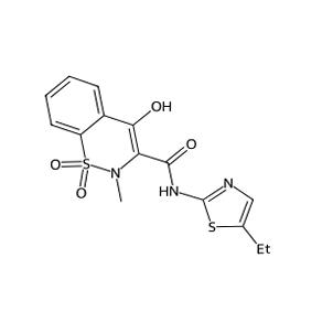 CCc1cnc(NC(=O)C2=C(O)c3ccccc3S(=O)(=O)N2C)s1